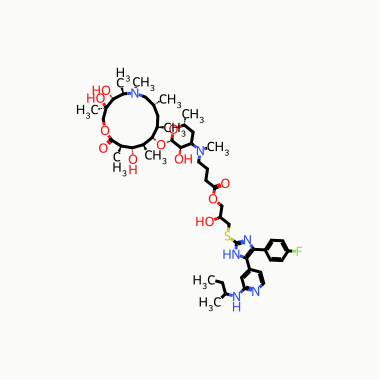 CCC(C)Nc1cc(-c2[nH]c(SCC(O)COC(=O)CCCN(C)C3C[C@@H](C)O[C@@H](O[C@@H]4[C@@H](C)[C@H](O)[C@@H](C)C(=O)OC[C@@](C)(O)[C@H](O)[C@@H](C)N(C)C[C@H](C)C[C@H]4C)[C@@H]3O)nc2-c2ccc(F)cc2)ccn1